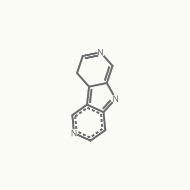 C1=NC=C2N=c3ccncc3=C2C1